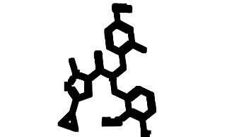 COc1ccc(CN(Cc2cccc(Br)c2OC)C(=O)c2cc(C3CC3)nn2C)c(C)c1